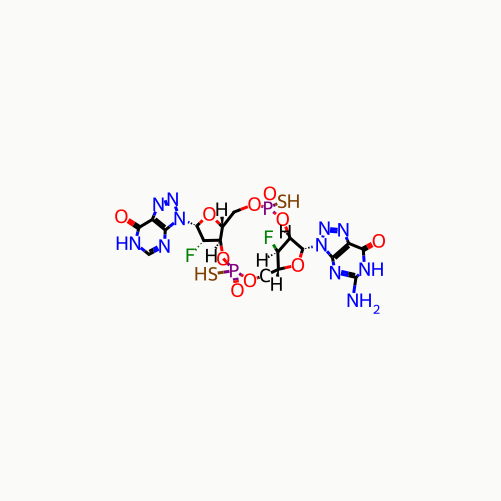 Nc1nc2c(nnn2[C@@H]2O[C@@H]3COP(=O)(S)O[C@H]4[C@H](F)[C@H](n5nnc6c(=O)[nH]cnc65)O[C@@H]4COP(=O)(S)O[C@@H]2[C@@H]3F)c(=O)[nH]1